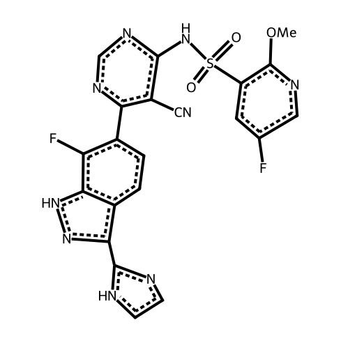 COc1ncc(F)cc1S(=O)(=O)Nc1ncnc(-c2ccc3c(-c4ncc[nH]4)n[nH]c3c2F)c1C#N